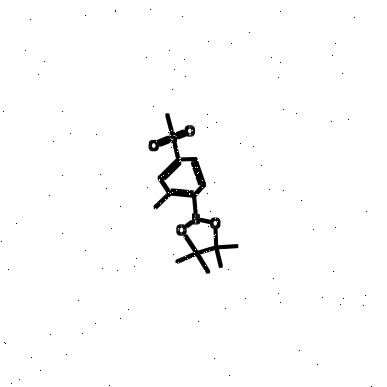 Cc1cc(S(C)(=O)=O)ccc1B1OC(C)(C)C(C)(C)O1